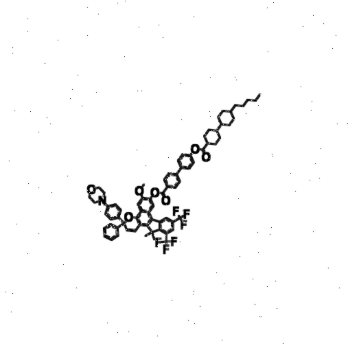 CCCCCC1CCC(C2CCC(C(=O)Oc3ccc(-c4ccc(C(=O)Oc5cc6c7c(c8c(c6cc5OC)OC(c5ccccc5)(c5ccc(N6CCOCC6)cc5)C=C8)C(C)(C)c5c-7cc(C(F)(F)F)cc5C(F)(F)F)cc4)cc3)CC2)CC1